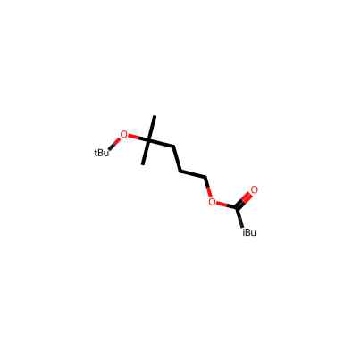 CCC(C)C(=O)OCCCC(C)(C)OC(C)(C)C